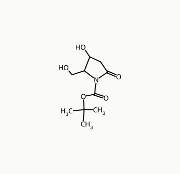 CC(C)(C)OC(=O)N1C(=O)CC(O)C1CO